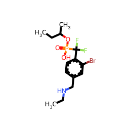 CCNCc1ccc(C(F)(F)P(=O)(O)OC(C)CC)c(Br)c1